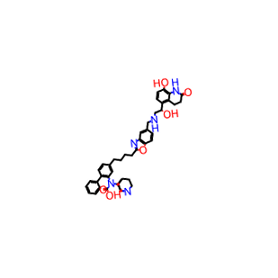 O=C1CCc2c([C@@H](O)CNCc3ccc4oc(CCCCc5ccc(-c6ccccc6)c(N(C(=O)O)C6CN7CCC6CC7)c5)nc4c3)ccc(O)c2N1